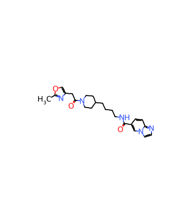 Cc1nc(CC(=O)N2CCC(CCCCNC(=O)c3ccc4nccn4c3)CC2)co1